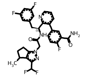 CC1CCc2c1c(C(F)F)nn2CC(=O)N[C@@H](Cc1cc(F)cc(F)c1)c1ncccc1-c1ccc(F)c(C(N)=O)c1